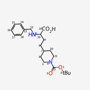 CC(C)(C)OC(=O)N1CCC(CCC(NCc2ccccc2)C(=O)O)CC1